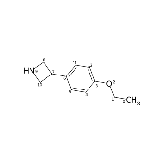 CCOc1ccc(C2CNC2)cc1